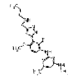 CCCNCc1cn(-c2c(OC)ccc(Nc3nc(C)cc(NC)n3)c2F)nn1